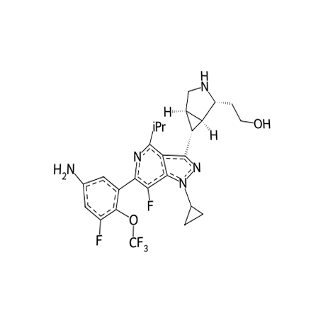 CC(C)c1nc(-c2cc(N)cc(F)c2OC(F)(F)F)c(F)c2c1c([C@@H]1[C@H]3CN[C@H](CCO)[C@H]31)nn2C1CC1